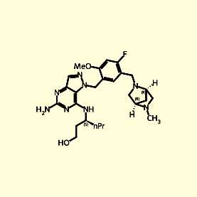 CCC[C@@H](CCO)Nc1nc(N)nc2cnn(Cc3cc(CN4C[C@H]5C[C@@H]4CN5C)c(F)cc3OC)c12